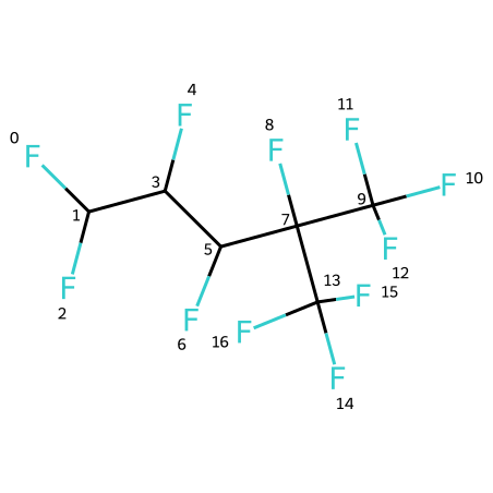 FC(F)C(F)C(F)C(F)(C(F)(F)F)C(F)(F)F